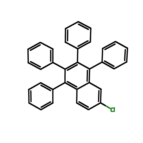 Clc1ccc2c(-c3ccccc3)c(-c3ccccc3)c(-c3ccccc3)c(-c3ccccc3)c2c1